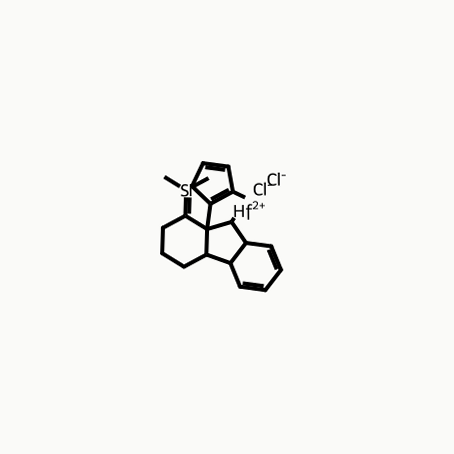 CC1=C(C23C(=[Si](C)C)CCCC2C2C=CC=CC2[CH]3[Hf+2])CC=C1.[Cl-].[Cl-]